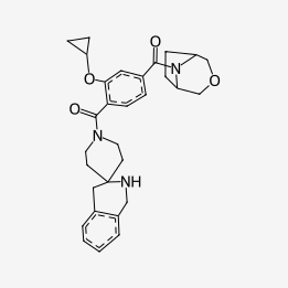 O=C(c1ccc(C(=O)N2C3CCC2COC3)cc1OC1CC1)N1CCC2(CC1)Cc1ccccc1CN2